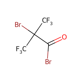 O=C(Br)C(Br)(C(F)(F)F)C(F)(F)F